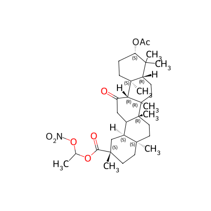 CC(=O)O[C@H]1CC[C@]2(C)[C@H]3C(=O)CC4[C@@H]5C[C@@](C)(C(=O)OC(C)O[N+](=O)[O-])CC[C@]5(C)CC[C@@]4(C)[C@]3(C)CC[C@H]2C1(C)C